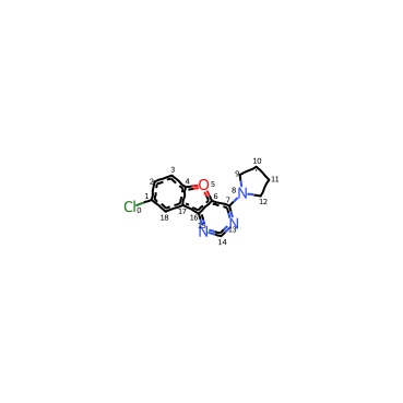 Clc1ccc2oc3c(N4C[CH]CC4)ncnc3c2c1